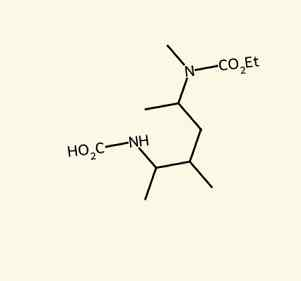 CCOC(=O)N(C)C(C)CC(C)C(C)NC(=O)O